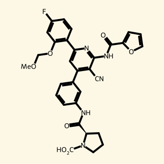 COCOc1cc(F)ccc1-c1cc(-c2cccc(NC(=O)[C@H]3CCCN3C(=O)O)c2)c(C#N)c(NC(=O)c2ccco2)n1